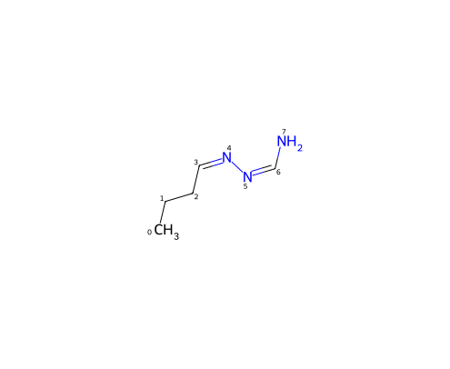 CCC/C=N\N=C/N